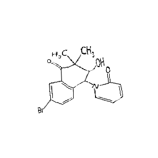 CC1(C)C(=O)c2cc(Br)ccc2C(n2ccccc2=O)C1O